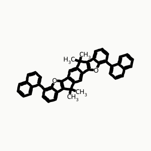 CC1(C)c2cc3c(cc2-c2oc4c(-c5cccc6ccccc56)cccc4c21)C(C)(C)c1c-3oc2c(-c3cccc4ccccc34)cccc12